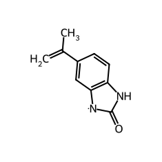 C=C(C)c1ccc2c(c1)[N]C(=O)N2